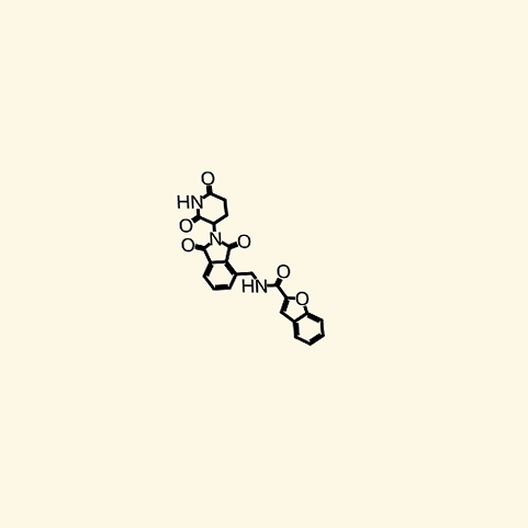 O=C1CCC(N2C(=O)c3cccc(CNC(=O)c4cc5ccccc5o4)c3C2=O)C(=O)N1